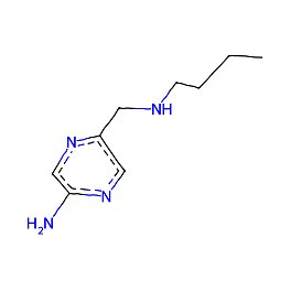 CCCCNCc1cnc(N)cn1